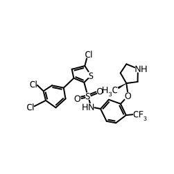 C[C@@]1(Oc2cc(NS(=O)(=O)c3sc(Cl)cc3-c3ccc(Cl)c(Cl)c3)ccc2C(F)(F)F)CCNC1